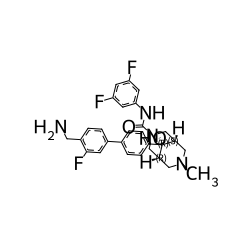 CN1C[C@@H]2CN(C(=O)Nc3cc(F)cc(F)c3)C[C@H](C1)[C@]2(O)c1ccc(-c2ccc(CN)c(F)c2)cc1